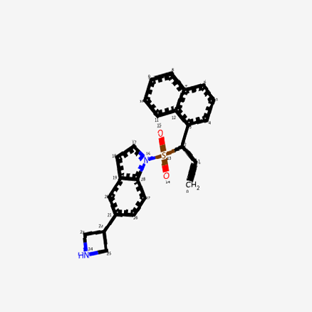 C=CC(c1cccc2ccccc12)S(=O)(=O)n1ccc2cc(C3CNC3)ccc21